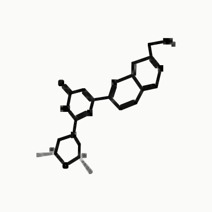 C[C@@H]1CN(c2nc(-c3ccc4cnc(CN)cc4n3)cc(=O)[nH]2)C[C@H](C)O1